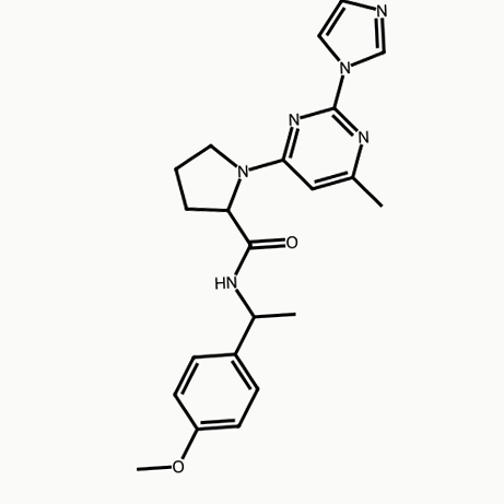 COc1ccc(C(C)NC(=O)C2CCCN2c2cc(C)nc(-n3ccnc3)n2)cc1